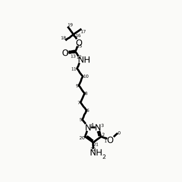 COc1nn(CCCCCCCNC(=O)OC(C)(C)C)cc1N